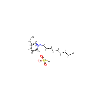 CCCCCCCCC[n+]1cccc(CC)c1.CS(=O)(=O)[O-]